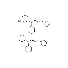 C(=CP(C1CCCCC1)C1CCCCC1)Cc1ccco1.C(=CP(C1CCCCC1)C1CCCCC1)Cc1ccco1.[Pd]